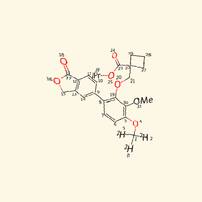 [2H]C([2H])([2H])Oc1ccc(-c2ccc3c(c2)COC3=O)c(OCC2(C(=O)OC(C)C)CCC2)c1OC